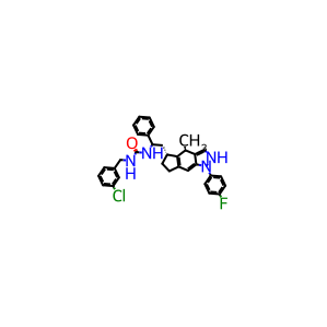 C[C@H]1C2=CNN(c3ccc(F)cc3)C2=CC2=C1[C@@H](CC(NC(=O)NCc1cccc(Cl)c1)c1ccccc1)CC2